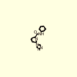 O=C(Nc1ccccc1)c1cccc(-n2cnnc2)n1